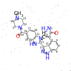 C=C(C(N)=O)c1cccc2[nH]nc(-c3nc4ccc(C(=O)N5CCN(C)CC5)cc4[nH]3)c12